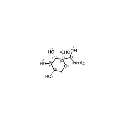 CC(=O)NC(O)[C@@]1(C=O)OC[C@H](O)[C@@H](O)[C@@H]1O